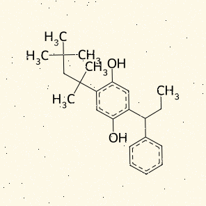 CCC(c1ccccc1)c1cc(O)c(C(C)(C)CC(C)(C)C)cc1O